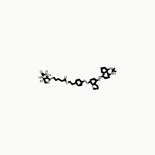 CC1(C)Nc2cccc3c(/N=N/c4ccc(/N=N/c5ccc(CCOC(=O)CCCC[C@H]6SC[C@H]7NC(=O)N[C@H]76)cc5)c5ccccc45)ccc(c23)N1